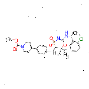 C[C@H](NC1=NS(=O)(=O)C(Cc2ccc(C3=CCN(C(=O)OC(C)(C)C)CC3)cc2)C(C)(C)O1)c1ccccc1Cl